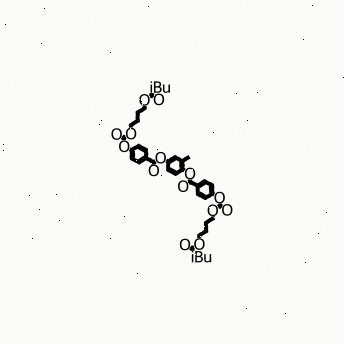 CCC(C)C(=O)OCCCCOC(=O)Oc1ccc(C(=O)Oc2ccc(OC(=O)c3ccc(OC(=O)OCCCCOC(=O)C(C)CC)cc3)c(C)c2)cc1